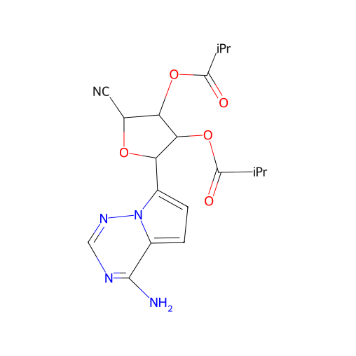 CC(C)C(=O)OC1C(C#N)OC(c2ccc3c(N)ncnn23)C1OC(=O)C(C)C